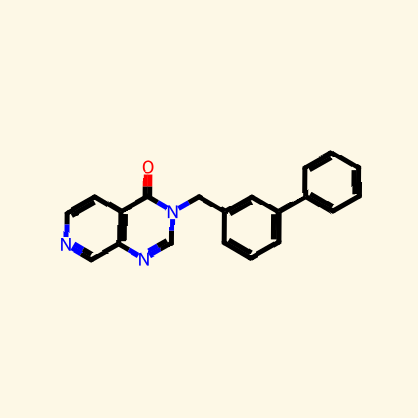 O=c1c2ccncc2ncn1Cc1cccc(-c2ccccc2)c1